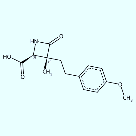 COc1ccc(CC[C@@]2(C)C(=O)N[C@@H]2C(=O)O)cc1